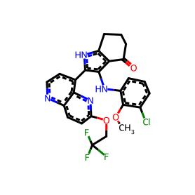 COc1c(Cl)cccc1Nc1c(-c2ccnc3ccc(OCC(F)(F)F)nc23)[nH]c2c1C(=O)CCC2